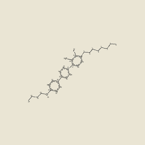 CCCCCCCCc1ccc(-c2ncc(-c3ccc(OCCCC)nc3)cn2)c(F)c1F